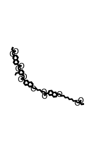 C=CC(=O)OCCCCCCCCOc1ccc2cc(C(=O)OCCCCOc3ccc4cc(C(=O)Oc5ccc(OC(=O)c6ccc7cc(OC(=O)C=C)ccc7c6)c(CC)c5)ccc4c3)ccc2c1